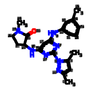 Cc1cc(C)n(-c2nc(Nc3cccc(C(F)(F)F)c3)cc(NC3CCN(C)C3=O)n2)n1